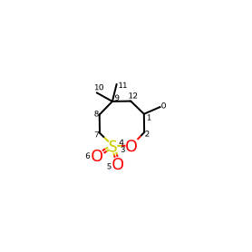 CC1COS(=O)(=O)CCC(C)(C)C1